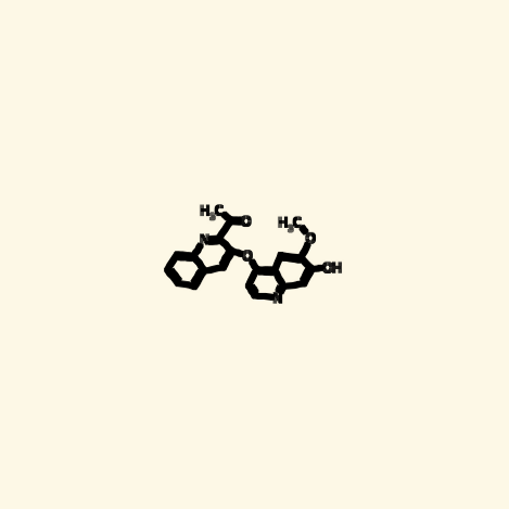 COc1cc2c(Oc3cc4ccccc4nc3C(C)=O)ccnc2cc1O